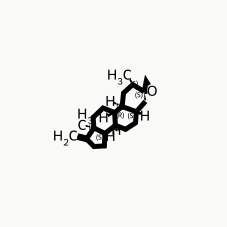 C=C1CC[C@H]2[C@@H]3CC[C@H]4C[C@@]5(CO5)[C@@H](C)C[C@@H]4[C@H]3CC[C@]12C